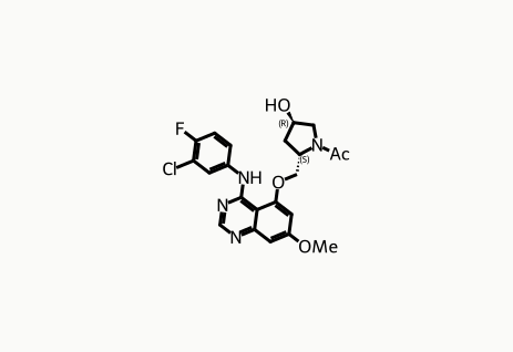 COc1cc(OC[C@@H]2C[C@@H](O)CN2C(C)=O)c2c(Nc3ccc(F)c(Cl)c3)ncnc2c1